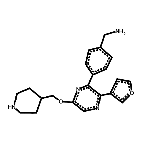 NCc1ccc(-c2nc(OCC3CCNCC3)cnc2-c2ccoc2)cc1